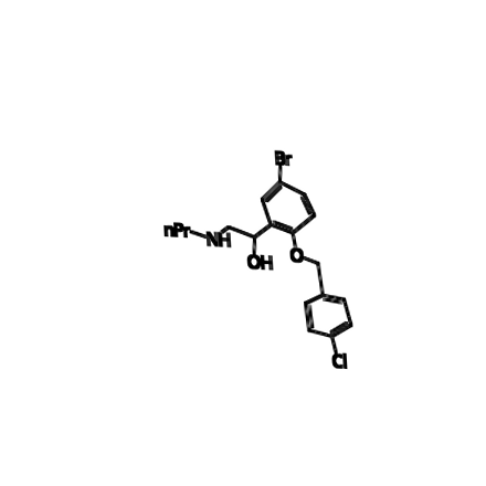 CCCNCC(O)c1cc(Br)ccc1OCc1ccc(Cl)cc1